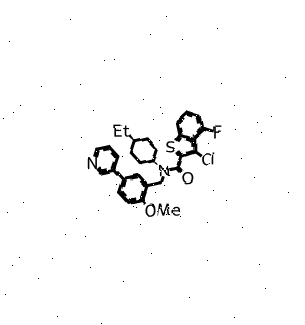 CC[C@H]1CC[C@H](N(Cc2cc(-c3cccnc3)ccc2OC)C(=O)c2sc3cccc(F)c3c2Cl)CC1